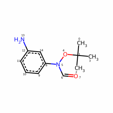 CC(C)(C)ON(C=O)c1cccc(N)c1